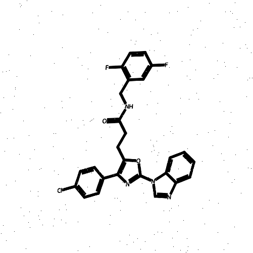 O=C(CCc1oc(-n2cnc3ccccc32)nc1-c1ccc(Cl)cc1)NCc1cc(F)ccc1F